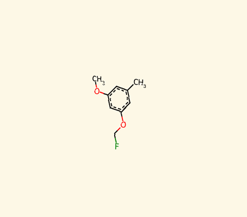 COc1cc(C)cc(OCF)c1